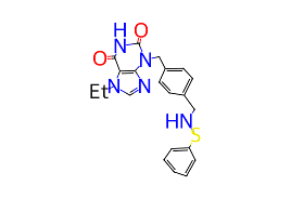 CCn1cnc2c1c(=O)[nH]c(=O)n2Cc1ccc(CNSc2ccccc2)cc1